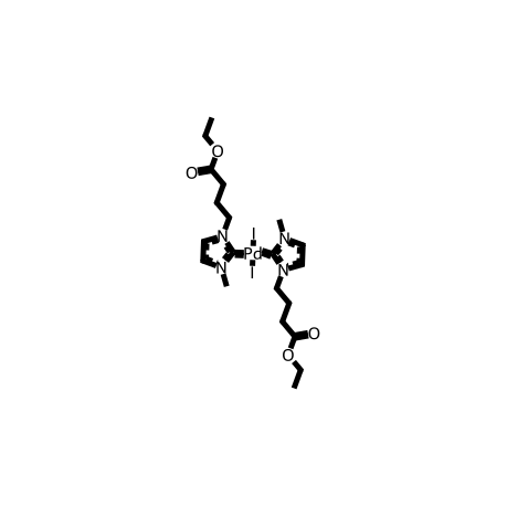 CCOC(=O)CCCn1ccn(C)[c]1=[Pd]([I])([I])=[c]1n(C)ccn1CCCC(=O)OCC